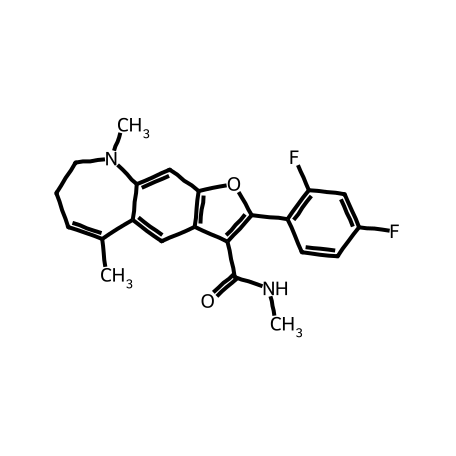 CNC(=O)c1c(-c2ccc(F)cc2F)oc2cc3c(cc12)C(C)=CCCN3C